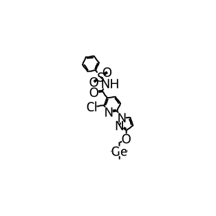 [CH3][Ge]([CH3])([CH3])[CH2]Oc1ccn(-c2ccc(C(=O)NS(=O)(=O)c3ccccc3)c(Cl)n2)n1